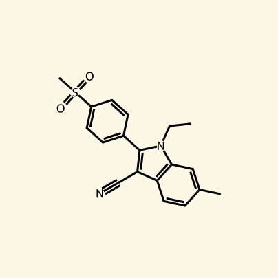 CCn1c(-c2ccc(S(C)(=O)=O)cc2)c(C#N)c2ccc(C)cc21